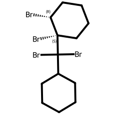 Br[C@@H]1CCCC[C@@]1(Br)C(Br)(Br)C1CCCCC1